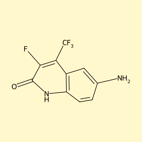 Nc1ccc2[nH]c(=O)c(F)c(C(F)(F)F)c2c1